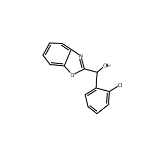 OC(c1nc2ccccc2o1)c1ccccc1Cl